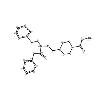 CC(C)(C)OC(=O)N1CCC(CON(CCc2ccccc2)C(=O)Cc2ccccc2)CC1